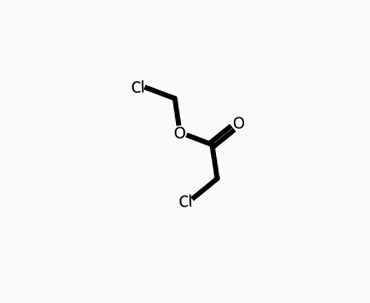 O=C(CCl)OCCl